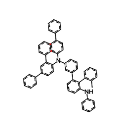 Cc1ccccc1-c1c(Nc2ccccc2)cccc1-c1cccc(N(c2ccc(-c3ccccc3)cc2)c2ccc(-c3ccccc3)cc2-c2ccccc2)c1